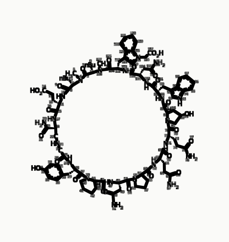 CCCC[C@H]1C(=O)N(C)[C@@H](CCCC)C(=O)N[C@@H](CCC(=O)O)C(=O)N[C@H](C(N)=O)CNCC(=O)N[C@@H](Cc2ccc(O)cc2)C(=O)N2CCCC[C@H]2C(=O)N[C@@H](CC(N)=O)C(=O)N2CCCC2C(=O)N[C@@H](CCC(N)=O)C(=O)N[C@@H](CCC(N)=O)C(=O)N2C[C@H](O)C[C@H]2C(=O)N[C@@H](Cc2c[nH]c3ccccc23)C(=O)N[C@@H](CC(N)=O)C(=O)N[C@@H](Cc2cn(CC(=O)O)c3ccccc23)C(=O)N1C